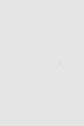 OC(CCN1CCN(c2ccc(Cl)c(Cl)c2)CC1)COc1ccccc1